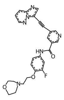 O=C(Nc1ccc(OCCN2CCOCC2)c(F)c1)c1cncc(C#Cc2cnc3cccnn23)c1